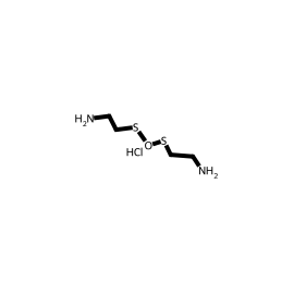 Cl.NCCSOSCCN